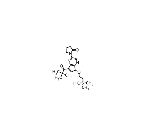 CC(C)(C)C(=O)C1=CC(OCC[Si](C)(C)C)c2ncc(N3CCCC3=O)nc21